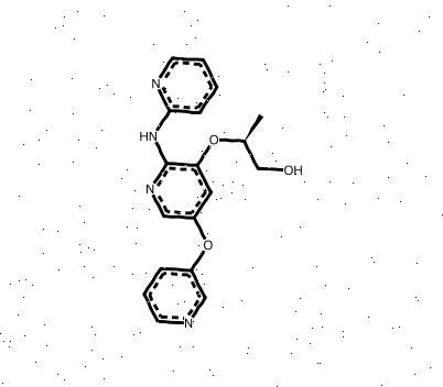 C[C@@H](CO)Oc1cc(Oc2cccnc2)cnc1Nc1ccccn1